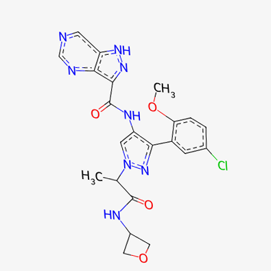 COc1ccc(Cl)cc1-c1nn(C(C)C(=O)NC2COC2)cc1NC(=O)c1n[nH]c2cncnc12